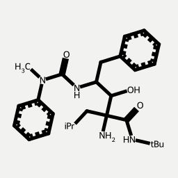 CC(C)CC(N)(C(=O)NC(C)(C)C)C(O)C(Cc1ccccc1)NC(=O)N(C)c1ccccc1